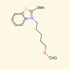 CSc1sc2ccccc2[n+]1CCCCCOC=O